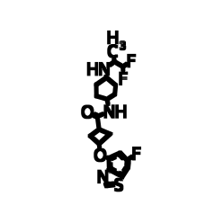 CC(NC1CCC(NC(=O)C2CC(Oc3cc(F)cc4scnc34)C2)CC1)C(F)F